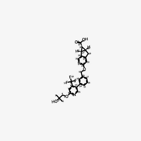 CC(C)(O)COc1cc(C(F)(F)F)c(-c2cccc(COc3cc4c(cn3)[C@H]3[C@@H](C4)[C@@H]3C(=O)O)c2)cn1